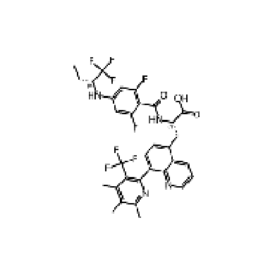 CC[C@@H](Nc1cc(F)c(C(=O)N[C@@H](Cc2ccc(-c3nc(C)c(C)c(C)c3C(F)(F)F)c3ncccc23)C(=O)O)c(F)c1)C(F)(F)F